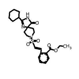 CCOC(=O)c1ccccc1/C=C/S(=O)(=O)N1CCC2(CC1)N=C(C1CCCCC1)NC2=O